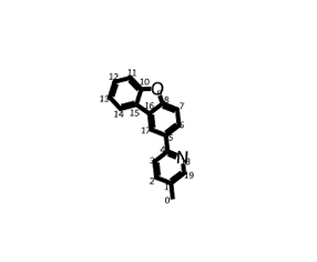 Cc1ccc(-c2ccc3oc4ccccc4c3c2)nc1